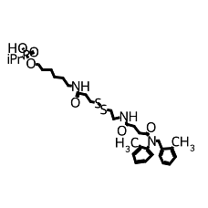 Cc1ccccc1CN(C(=O)CCC(=O)NCCSSCCC(=O)NCCCCCCOP(=O)(O)C(C)C)c1ccccc1C